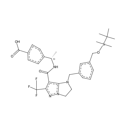 C[C@H](NC(=O)c1c(C(F)(F)F)nn2c1N(Cc1cccc(CO[Si](C)(C)C(C)(C)C)c1)CC2)c1ccc(C(=O)O)cc1